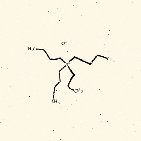 CCCC[N+](CCC)(CCCC)CCCC.[Cl-]